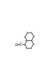 O=C[C]1CCCC2CCCCC12